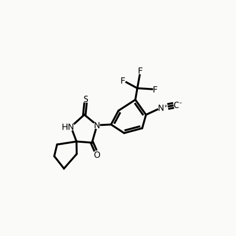 [C-]#[N+]c1ccc(N2C(=O)C3(CCCC3)NC2=S)cc1C(F)(F)F